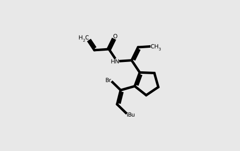 C=CC(=O)N/C(=C/C)C1=C(/C(Br)=C\C(C)CC)CCC1